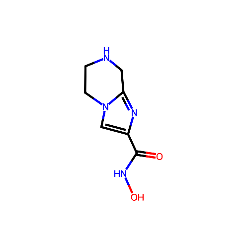 O=C(NO)c1cn2c(n1)CNCC2